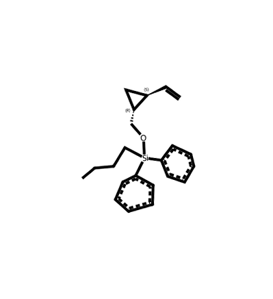 C=C[C@@H]1C[C@H]1CO[Si](CCCC)(c1ccccc1)c1ccccc1